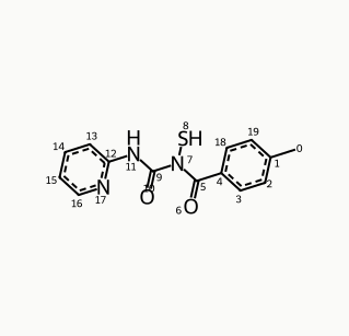 Cc1ccc(C(=O)N(S)C(=O)Nc2ccccn2)cc1